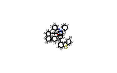 c1ccc(N(c2ccc(-c3cccc4sc5ccccc5c34)cc2)c2cccc3c2C2(c4ccccc4-c4ccccc42)c2c-3ccc3ccccc23)cc1